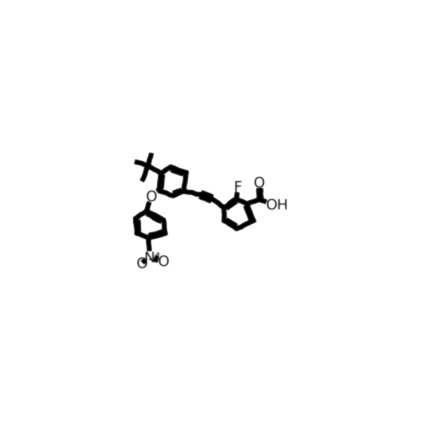 CC(C)(C)c1ccc(C#Cc2cccc(C(=O)O)c2F)cc1Oc1ccc([N+](=O)[O-])cc1